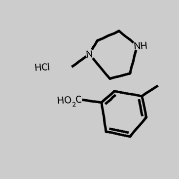 CN1CCNCC1.Cc1cccc(C(=O)O)c1.Cl